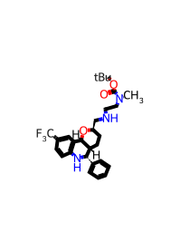 CN(CCNC[C@H]1CC[C@@H]2[C@H](O1)c1cc(C(F)(F)F)ccc1N[C@H]2c1ccccc1)C(=O)OC(C)(C)C